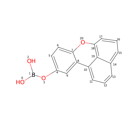 OB(O)Oc1ccc2c(c1)-c1cccc3cccc(c13)O2